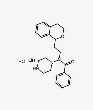 Cl.Cl.O=C(c1ccccc1)N(CCC1OCCc2ccccc21)N1CCNCC1